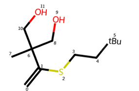 C=C(SCCC(C)(C)C)C(C)(CO)CO